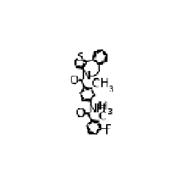 Cc1cc(NC(=O)c2cccc(F)c2C)ccc1C(=O)N1CCc2ccccc2-c2sccc21